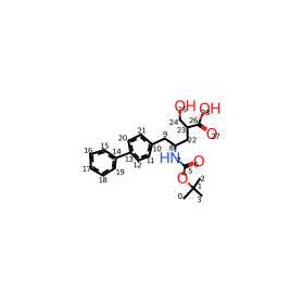 CC(C)(C)OC(=O)NC(Cc1ccc(-c2ccccc2)cc1)CC(CO)C(=O)O